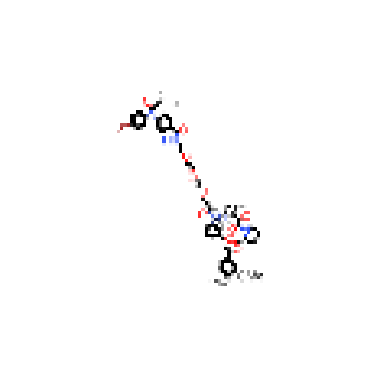 C=CC(=O)N(c1ccc(Br)cc1)c1ccc(C(=O)NCCOCCOCCOCCC(=O)Nc2cccc([C@@H](CCc3ccc(OC)c(OC)c3)OC(=O)[C@@H]3CCCCN3C(=O)C(=O)C(C)(C)CC)c2)cc1